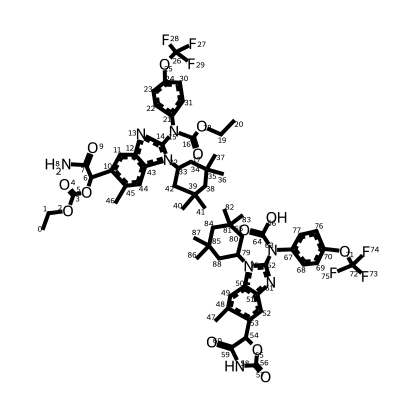 CCOC(=O)OC(C(N)=O)c1cc2nc(N(C(=O)OCC)c3ccc(OC(F)(F)F)cc3)n(C3CC(C)(C)CC(C)(C)C3)c2cc1C.Cc1cc2c(cc1C1OC(=O)NC1=O)nc(N(C(=O)O)c1ccc(OC(F)(F)F)cc1)n2C1CC(C)(C)CC(C)(C)C1